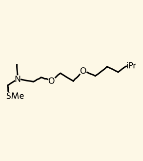 CSCN(C)CCOCCOCCCC(C)C